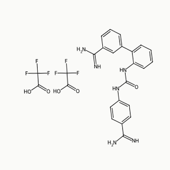 N=C(N)c1ccc(NC(=O)Nc2ccccc2-c2cccc(C(=N)N)c2)cc1.O=C(O)C(F)(F)F.O=C(O)C(F)(F)F